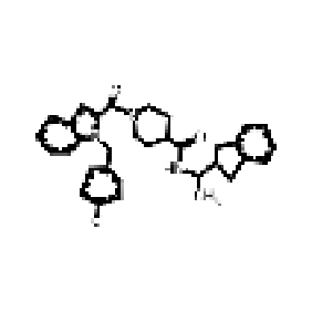 CC(NC(=O)C1CCN(C(=O)c2cc3ccccc3n2Cc2ccc(Cl)cc2)CC1)C1Cc2ccccc2C1